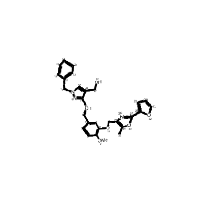 COc1ccc(COc2nn(Cc3ccccc3)cc2CO)cc1OCc1nc(-c2ccco2)oc1C